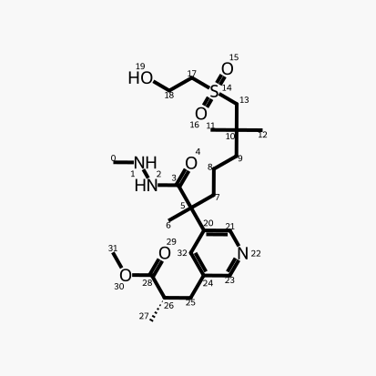 CNNC(=O)C(C)(CCCC(C)(C)CS(=O)(=O)CCO)c1cncc(C[C@H](C)C(=O)OC)c1